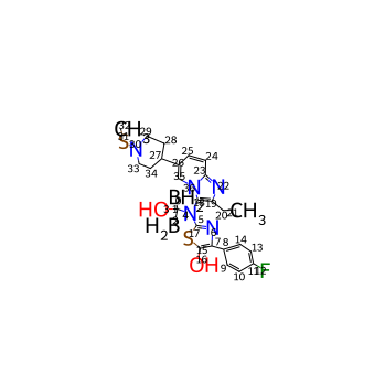 BC(B)(O)N(c1nc(-c2ccc(F)cc2)c(O)s1)c1c(CC)nc2ccc(C3CCN(SC)CC3)cn12